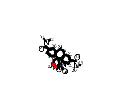 C[C@H](N)CC1(c2nc(=O)on2C)c2ccc(C(=O)N(C)C)cc2CCc2cc(C(=O)N(C)C)ccc21